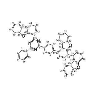 c1ccc(-c2nc(-c3ccc(-c4ccc(-c5cccc6oc7ccccc7c56)c5oc6ccccc6c45)cc3)nc(-c3cccc4c3oc3ccccc34)n2)cc1